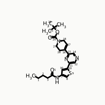 CCCCC(=O)Nc1csc(-c2cncc(C3=CCN(C(=O)OC(C)(C)C)CC3)n2)c1